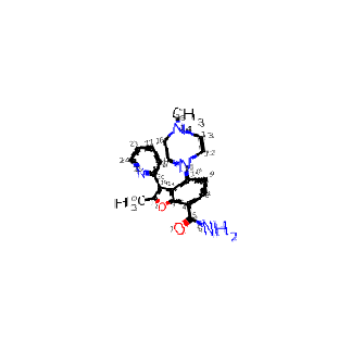 Cc1oc2c(C(N)=O)ccc(N3CCN(C)CC3)c2c1-c1ccccn1